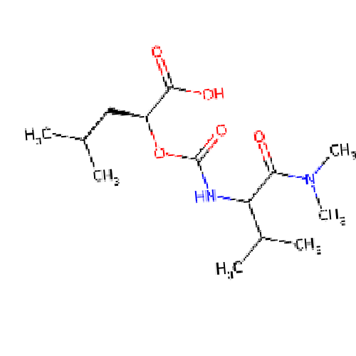 CC(C)C[C@H](OC(=O)NC(C(=O)N(C)C)C(C)C)C(=O)O